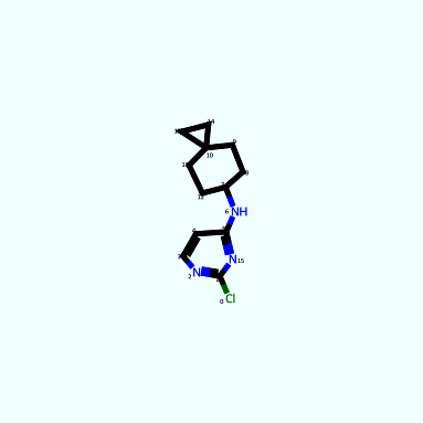 Clc1nccc(NC2CCC3(CC2)CC3)n1